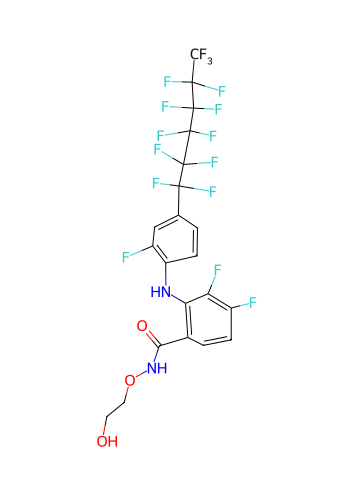 O=C(NOCCO)c1ccc(F)c(F)c1Nc1ccc(C(F)(F)C(F)(F)C(F)(F)C(F)(F)C(F)(F)C(F)(F)F)cc1F